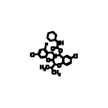 CC(C)C1Oc2ccc(Cl)cc2C(OC(=O)NC2CCCCC2)N(Cc2ccc(Cl)cc2F)C1=O